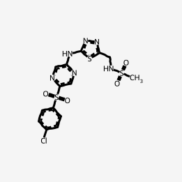 CS(=O)(=O)NCc1nnc(Nc2cnc(S(=O)(=O)c3ccc(Cl)cc3)cn2)s1